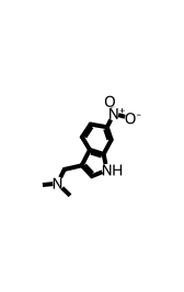 CN(C)Cc1c[nH]c2cc([N+](=O)[O-])ccc12